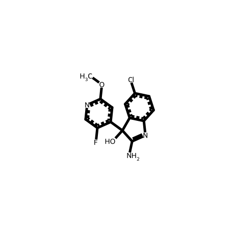 COc1cc(C2(O)C(N)=Nc3ccc(Cl)cc32)c(F)cn1